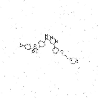 COc1ccc(S(=O)(=O)Nc2ccc(Nc3cc(-c4cccc(OCCCN5CCOCC5)c4)ncn3)cc2)cc1